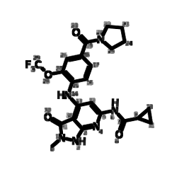 Cn1[nH]c2nc(NC(=O)C3CC3)cc(Nc3ccc(C(=O)N4CCCC4)cc3OC(F)(F)F)c2c1=O